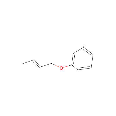 CC=CCOc1c[c]ccc1